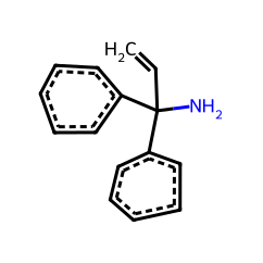 C=CC(N)(c1ccccc1)c1ccccc1